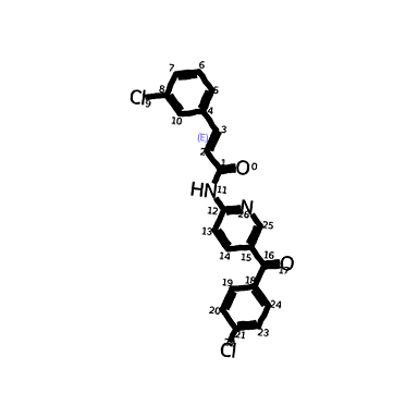 O=C(/C=C/c1cccc(Cl)c1)Nc1ccc(C(=O)c2ccc(Cl)cc2)cn1